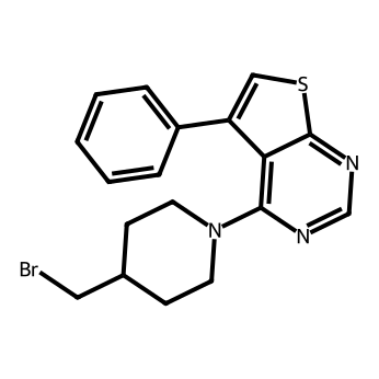 BrCC1CCN(c2ncnc3scc(-c4ccccc4)c23)CC1